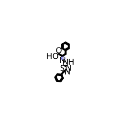 O=C(O)/C(Cc1ccccc1)=N/Nc1nnc(-c2ccccc2)s1